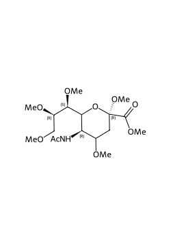 COC[C@@H](OC)[C@@H](OC)C1O[C@@](OC)(C(=O)OC)CC(OC)[C@H]1NC(C)=O